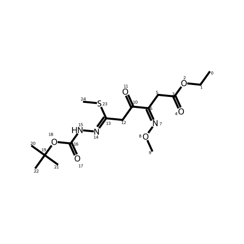 CCOC(=O)CC(=NOC)C(=O)CC(=NNC(=O)OC(C)(C)C)SC